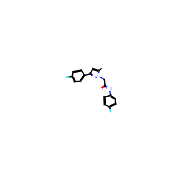 Cc1cc(-c2ccc(F)cc2)nn1CC(=O)Nc1ccc(F)cc1